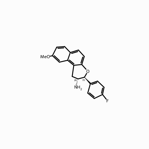 COc1ccc2ccc3c(c2c1)C[C@@H](N)[C@H](c1ccc(F)cc1)O3